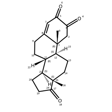 C[C@]12CC(=O)C(=O)C=C1CC[C@@H]1[C@@H]2CC[C@]2(C)C(=O)CC[C@@H]12